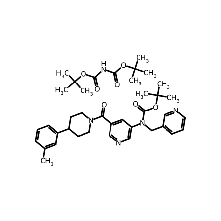 CC(C)(C)OC(=O)NC(=O)OC(C)(C)C.Cc1cccc(C2CCN(C(=O)c3cncc(N(Cc4cccnc4)C(=O)OC(C)(C)C)c3)CC2)c1